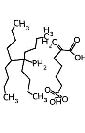 C=C(CCCCS(=O)(=O)O)C(=O)O.CCCCC(CCCC)C(P)(CCCC)CCCC